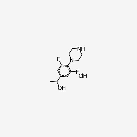 CC(O)c1cc(F)c(N2CCNCC2)c(F)c1.Cl